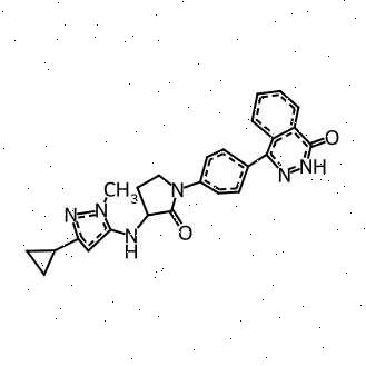 Cn1nc(C2CC2)cc1NC1CCN(c2ccc(-c3n[nH]c(=O)c4ccccc34)cc2)C1=O